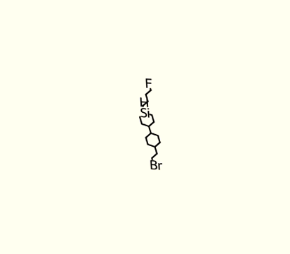 FCCCC[SiH]1CCC(C2CCC(CCBr)CC2)CC1